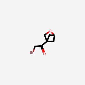 O=C(CBr)C12COC(C1)C2